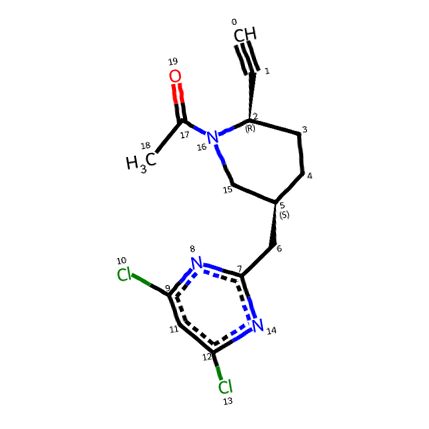 C#C[C@H]1CC[C@@H](Cc2nc(Cl)cc(Cl)n2)CN1C(C)=O